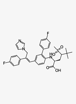 CC(C)(C)C(C[C@H](Nc1ccc(C=C(Cn2ccnc2)c2ccc(F)cc2)cc1-c1ccc(F)cc1)C(=O)O)S(C)(=O)=O